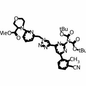 COC(=O)C1COCCN1c1cccc(Cn2cc(-c3cc(-c4cccc(C#N)c4C)nc(N(C(=O)OC(C)(C)C)C(=O)OC(C)(C)C)n3)nn2)n1